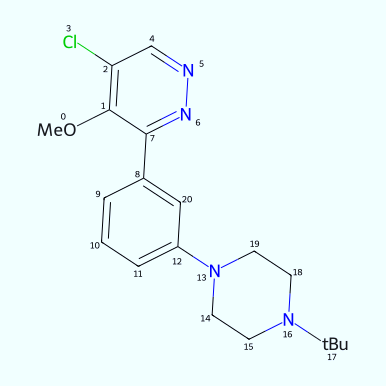 COc1c(Cl)cnnc1-c1cccc(N2CCN(C(C)(C)C)CC2)c1